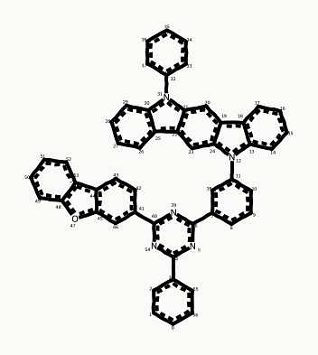 c1ccc(-c2nc(-c3cccc(-n4c5ccccc5c5cc6c(cc54)c4ccccc4n6-c4ccccc4)c3)nc(-c3ccc4c(c3)oc3ccccc34)n2)cc1